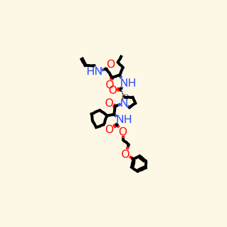 C=CCNC(=O)C(=O)C(CCC)NC(=O)[C@@H]1CCCN1C(=O)C(NC(=O)OCCOc1ccccc1)C1CCCCC1